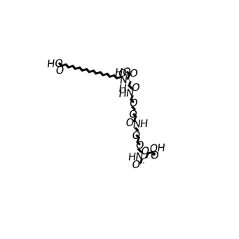 O=[C][C@H](CCC(=O)O)NC(=O)COCCOCCNC(=O)COCCOCCNC(=O)CC[C@H](NC(=O)CCCCCCCCCCCCCCCCC(=O)O)C(=O)O